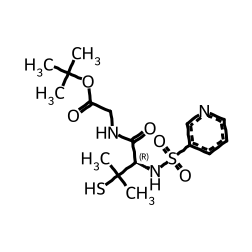 CC(C)(C)OC(=O)CNC(=O)[C@@H](NS(=O)(=O)c1cccnc1)C(C)(C)S